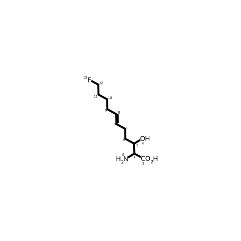 NC(C(=O)O)C(O)CC/C=C/CCCCF